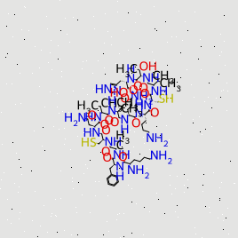 CC(C)[C@H](NC(=O)[C@H](CC(N)=O)NC(=O)[C@H](CS)NC(=O)[C@H](C)NC(=O)[C@H](Cc1ccccc1)NC(=O)[C@@H](N)CCCCN)C(=O)N[C@H](C(=O)N[C@@H](CCC(N)=O)C(=O)N[C@@H](CCCCN)C(=O)N[C@@H](CS)C(=O)N[C@H](C(=O)N[C@H](C(=O)N[C@@H](Cc1c[nH]cn1)C(=O)O)[C@@H](C)O)C(C)C)C(C)C